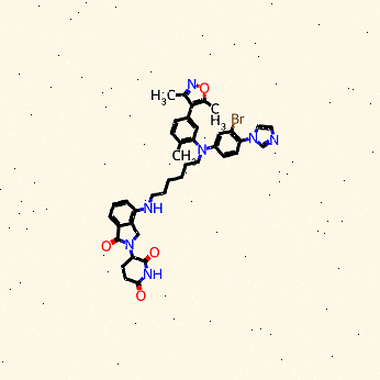 Cc1ccc(-c2c(C)noc2C)cc1N(CCCCCCNc1cccc2c1CN(C1CCC(=O)NC1=O)C2=O)c1ccc(-n2ccnc2)c(Br)c1